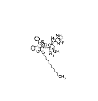 CCCCCCCCCCCCOC(=O)[C@H](Cc1ccccc1)NP(=O)(OC[C@@]1(C)O[C@@H](n2cnc3c(N)nc(F)nc32)C[C@@H]1O)Oc1ccccc1